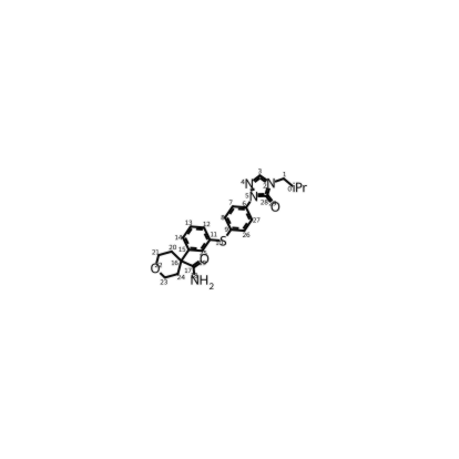 CC(C)Cn1cnn(-c2ccc(Sc3cccc(C4(C(N)=O)CCOCC4)c3)cc2)c1=O